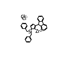 [Cl-].[Cl-].[Zr+2][C]1=C(C2c3ccccc3-c3ccccc32)C=CC1=[Si](Cc1ccccc1)Cc1ccccc1